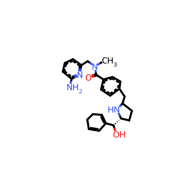 CN(Cc1cccc(N)n1)C(=O)c1ccc(CC2CC[C@H](C(O)C3=CCCC=C3)N2)cc1